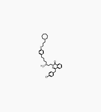 CN(CCCCc1ccc(OCCCN2CCCCCC2)cc1)CCn1nc(Cc2ccc(Cl)cc2)c2ccccc2c1=O